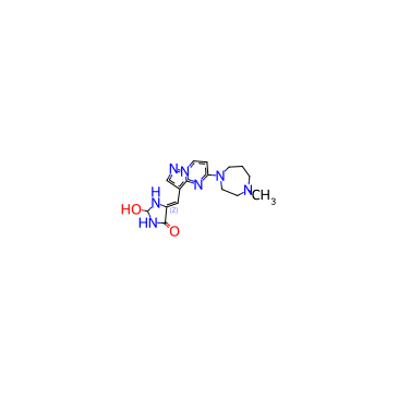 CN1CCCN(c2ccn3ncc(/C=C4\NC(O)NC4=O)c3n2)CC1